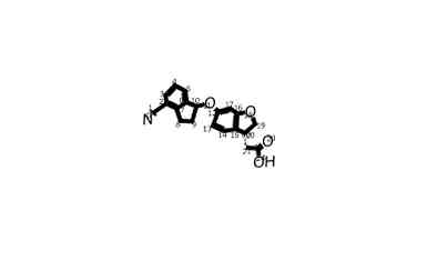 N#Cc1cccc2c1CCC2Oc1ccc2c(c1)OC[C@@H]2CC(=O)O